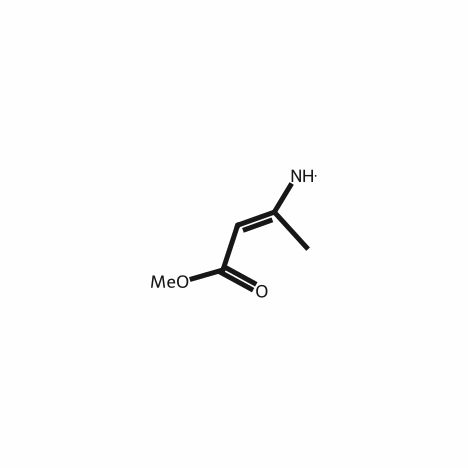 COC(=O)/C=C(\C)[NH]